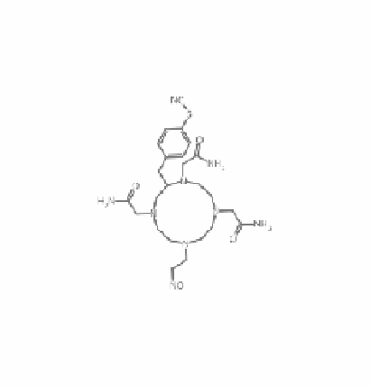 N#CSc1ccc(CC2CN(CC(N)=O)CCN(CCN=O)CCN(CC(N)=O)CCN2CC(N)=O)cc1